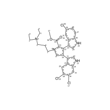 CCN(CC)CCCn1cc(-c2c[nH]c3cc(Cl)c(Cl)cc23)c(-c2c[nH]c3ccc(Cl)cc23)c1C(=O)OC